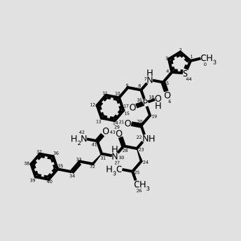 Cc1ccc(C(=O)NC(Cc2ccccc2)P(=O)(O)CC(=O)N[C@@H](CC(C)C)C(=O)N[C@@H](CC=Cc2ccccc2)C(N)=O)s1